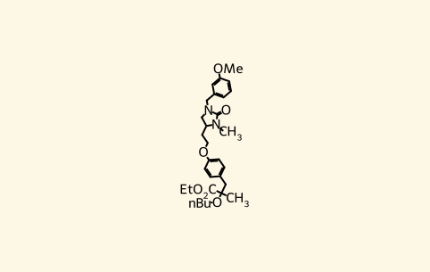 CCCCOC(C)(Cc1ccc(OCCC2CN(Cc3cccc(OC)c3)C(=O)N2C)cc1)C(=O)OCC